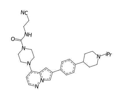 CC(C)N1CCC(c2ccc(-c3cc4c(N5CCN(C(=O)NCCC#N)CC5)ccnn4c3)cc2)CC1